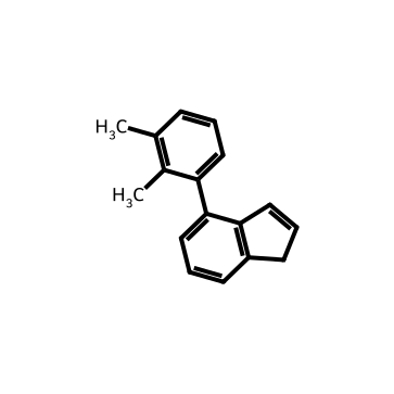 Cc1cccc(-c2cccc3c2C=CC3)c1C